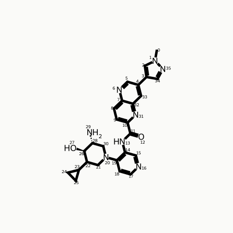 Cn1cc(-c2cnc3ccc(C(=O)Nc4cnccc4N4CC(C5CC5)[C@@H](O)[C@H](N)C4)nc3c2)cn1